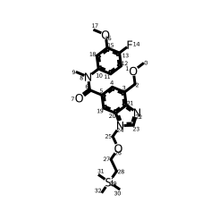 COCc1cc(C(=O)N(C)c2ccc(F)c(OC)c2)cc2c1ncn2COCC[Si](C)(C)C